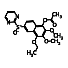 CCOc1c(OC)c(OC)c(OC(C)=O)c2ccc([S+]([O-])c3ncccn3)cc12